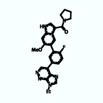 CCn1cnc2c(-c3ccc(F)c(-c4cc5c(C(=O)N6CCCC6)c[nH]c5cc4OC)c3)cnnc21